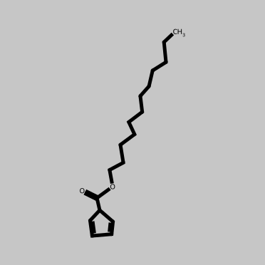 CCCCCCCCCCCCOC(=O)C1C=CC=C1